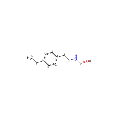 CCc1ccc(CCNC=O)cc1